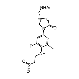 CC(=O)NC[C@H]1CN(c2cc(F)c(NCC[SH](=O)=O)c(F)c2)C(=O)O1